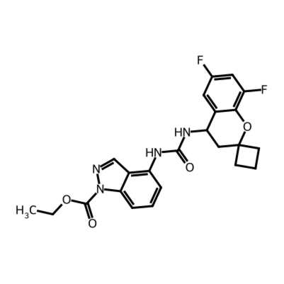 CCOC(=O)n1ncc2c(NC(=O)NC3CC4(CCC4)Oc4c(F)cc(F)cc43)cccc21